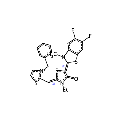 CCn1c(=O)/c(=C2\Sc3cc(F)c(F)cc3N2C)s/c1=C\c1scc[n+]1Cc1ccccc1